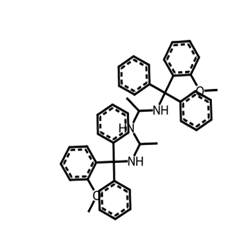 COc1ccccc1C(NC(C)NC(C)NC(c1ccccc1)(c1ccccc1)c1ccccc1OC)(c1ccccc1)c1ccccc1